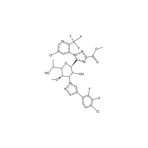 COC(=O)c1nc([C@@H]2OC(C(C)O)[C@H](OC)C(n3cc(-c4ccc(Cl)c(F)c4F)cn3)C2O)n(-c2cc(Cl)cnc2C(F)(F)F)n1